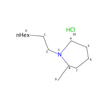 CCCCCCCCN1CCCCC1C.Cl